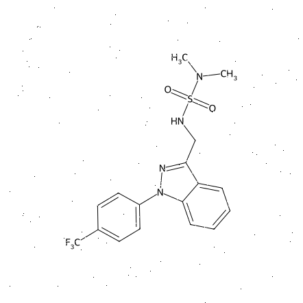 CN(C)S(=O)(=O)NCc1nn(-c2ccc(C(F)(F)F)cc2)c2ccccc12